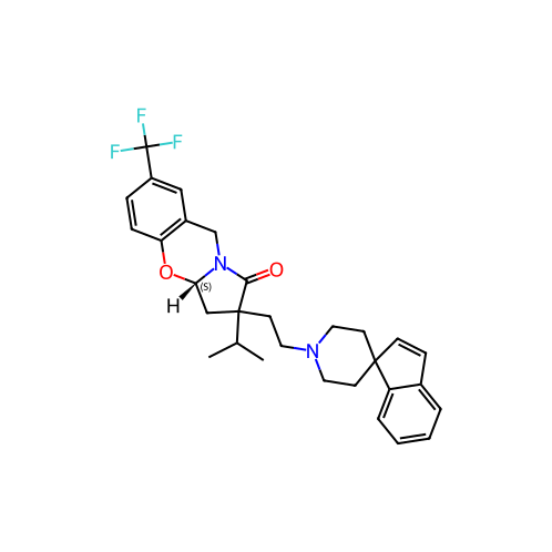 CC(C)C1(CCN2CCC3(C=Cc4ccccc43)CC2)C[C@@H]2Oc3ccc(C(F)(F)F)cc3CN2C1=O